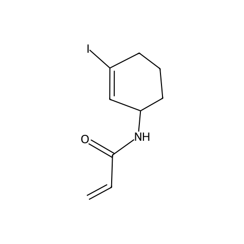 C=CC(=O)NC1C=C(I)CCC1